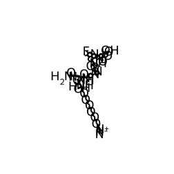 CC[C@@]1(O)C(=O)OCc2c1cc1n(c2=O)Cc2c-1nc1cc(F)c(C)c3c1c2[C@@H](NC(=O)OCc1nccn1-c1ccc(NC(=O)[C@H](CCCNC(N)=O)NC(=O)[C@@H](NC(=O)CCOCCOCCOCCOCCOCCOCCN=[N+]=[N-])C(C)C)cc1)CC3